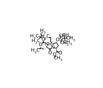 C=CC[C@H](NC(=O)OC(C)(C)C)C(=O)N1[C@H](C(=O)OC)C[C@@H](O[Si](C)(C)C(C)(C)C)[C@@H]1CC=C